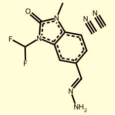 C#N.C#N.Cn1c(=O)n(C(F)F)c2cc(C=NN)ccc21